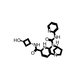 O=C(N[C@H]1C[C@H](O)C1)C1C=CC2=C(N1)N(C(=O)Nc1ccccn1)[C@H]1CCN2C1